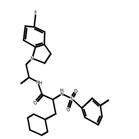 Cc1cccc(S(=O)(=O)NC(CC2CCCCC2)C(=O)NC(C)CN2CCc3cc(F)ccc32)c1